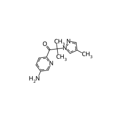 Cc1cnn(C(C)(C)C(=O)c2ccc(N)cn2)c1